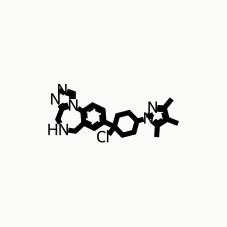 Cc1nn(C2CCC(Cl)(c3ccc4c(c3)CNCc3nncn3-4)CC2)c(C)c1C